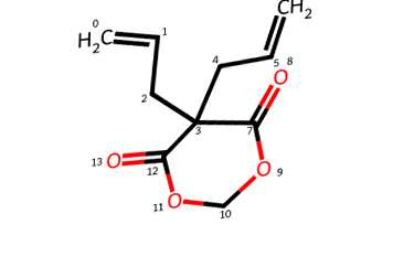 C=CCC1(CC=C)C(=O)OCOC1=O